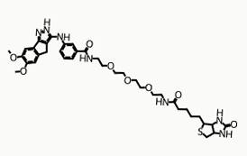 COc1cc2c(cc1OC)-c1n[nH]c(Nc3cccc(C(=O)NCCOCCOCCOCCNC(=O)CCCCC4SCC5NC(=O)NC54)c3)c1C2